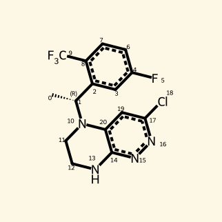 C[C@H](c1cc(F)ccc1C(F)(F)F)N1CCNc2nnc(Cl)cc21